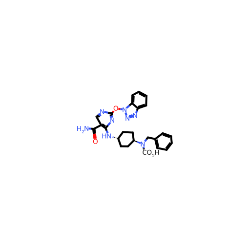 NC(=O)c1cnc(On2nnc3ccccc32)nc1N[C@H]1CC[C@H](N(Cc2ccccc2)C(=O)O)CC1